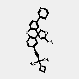 CC(C)(C#Cc1cnc2c(c1)C1(COC(N)=N1)c1cc(-c3cccnc3)ccc1O2)N1CCC1